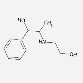 CC(NCCO)C(O)c1ccccc1